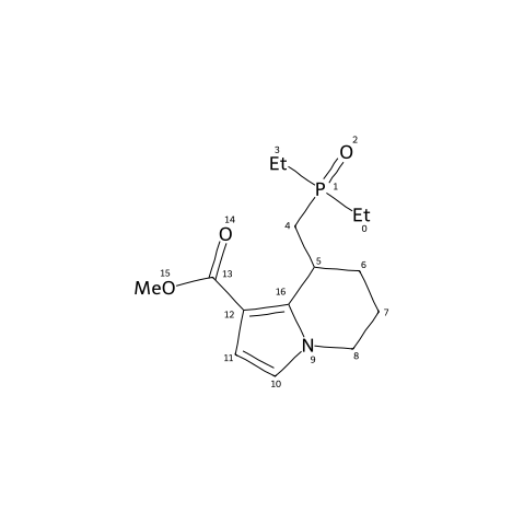 CCP(=O)(CC)CC1CCCn2ccc(C(=O)OC)c21